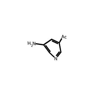 CC(=O)c1cncc(N)c1